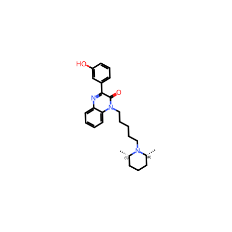 C[C@@H]1CCC[C@H](C)N1CCCCCn1c(=O)c(-c2cccc(O)c2)nc2ccccc21